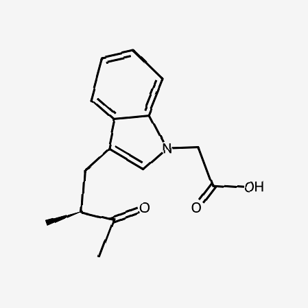 CC(=O)[C@@H](C)Cc1cn(CC(=O)O)c2ccccc12